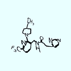 CC1CCN(c2nc(C(F)(F)F)ccc2CNC(=O)Cc2ccncn2)CC1